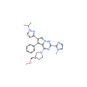 COC[C@@H]1CCN(c2nc(-c3nccn3C)nn3cc(-c4ccn(C(C)C)n4)c(-c4ccccc4)c23)C1